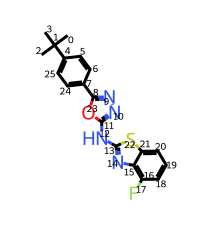 CC(C)(C)c1ccc(-c2nnc(Nc3nc4c(F)cccc4s3)o2)cc1